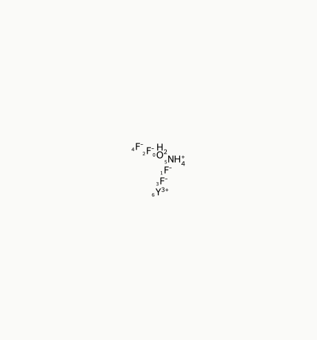 O.[F-].[F-].[F-].[F-].[NH4+].[Y+3]